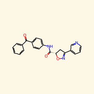 O=C(c1ccccc1)c1ccc(NC(=O)[C@@H]2CC(c3cccnc3)=NO2)cc1